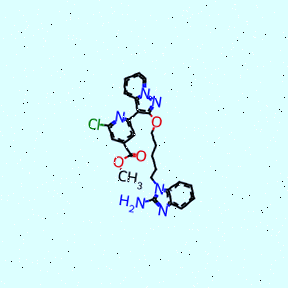 COC(=O)c1cc(Cl)nc(-c2c(OCCCCCn3c(N)nc4ccccc43)nn3ccccc23)c1